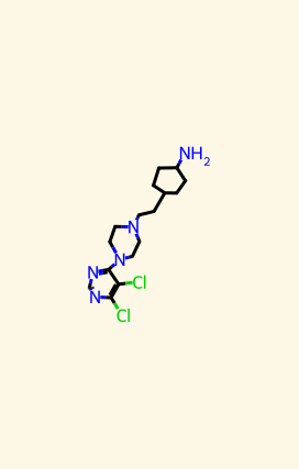 NC1CCC(CCN2CCN(c3ncnc(Cl)c3Cl)CC2)CC1